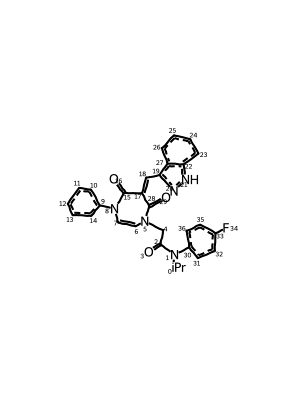 CC(C)N(C(=O)CN1C=CN(c2ccccc2)C(=O)/C(=C/c2n[nH]c3ccccc23)C1=O)c1ccc(F)cc1